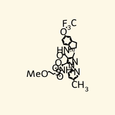 COCCS(=O)(=O)NC(=O)c1c2c(nn1-c1ccc(C)cn1)C[C@]1(CCc3cc(OCC(F)(F)F)ccc31)NC2=O